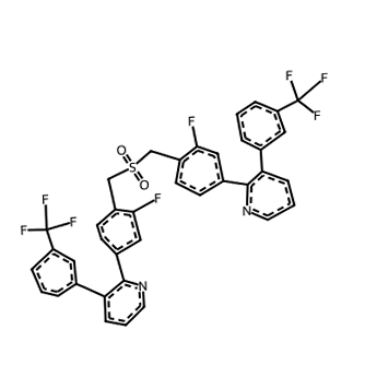 O=S(=O)(Cc1ccc(-c2ncccc2-c2cccc(C(F)(F)F)c2)cc1F)Cc1ccc(-c2ncccc2-c2cccc(C(F)(F)F)c2)cc1F